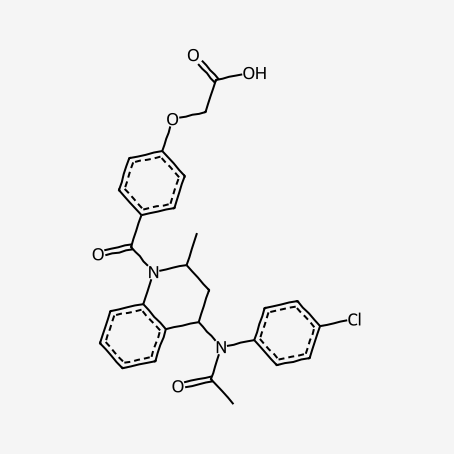 CC(=O)N(c1ccc(Cl)cc1)C1CC(C)N(C(=O)c2ccc(OCC(=O)O)cc2)c2ccccc21